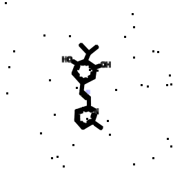 Cc1cccc(/C=C/c2cc(O)c(C(C)C)c(O)c2)n1